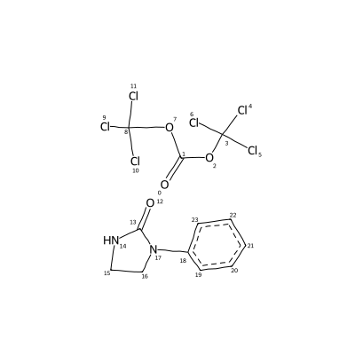 O=C(OC(Cl)(Cl)Cl)OC(Cl)(Cl)Cl.O=C1NCCN1c1ccccc1